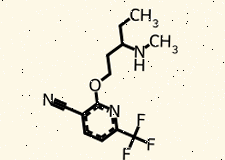 CCC(CCOc1nc(C(F)(F)F)ccc1C#N)NC